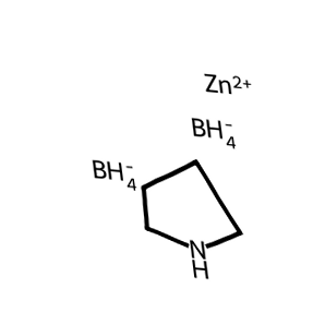 C1CCNC1.[BH4-].[BH4-].[Zn+2]